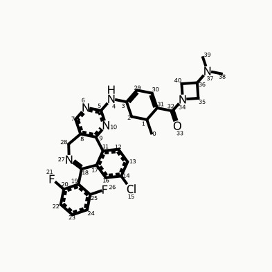 CC1CC(Nc2ncc3c(n2)-c2ccc(Cl)cc2C(c2c(F)cccc2F)=NC3)=CC=C1C(=O)N1CC(N(C)C)C1